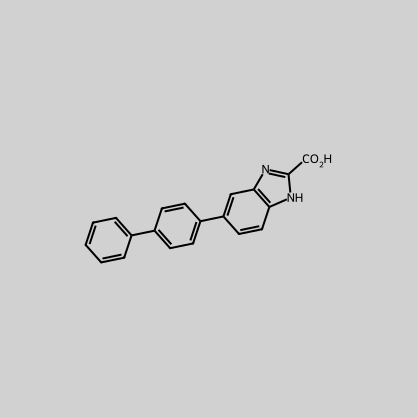 O=C(O)c1nc2cc(-c3ccc(-c4ccccc4)cc3)ccc2[nH]1